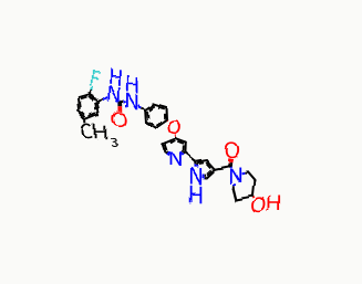 Cc1ccc(F)c(NC(=O)Nc2ccc(Oc3ccnc(-c4cc(C(=O)N5CCC(O)CC5)c[nH]4)c3)cc2)c1